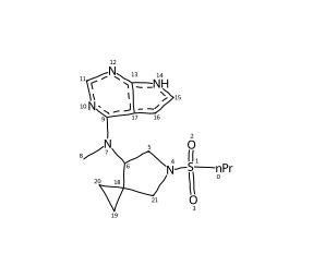 CCCS(=O)(=O)N1CC(N(C)c2ncnc3[nH]ccc23)C2(CC2)C1